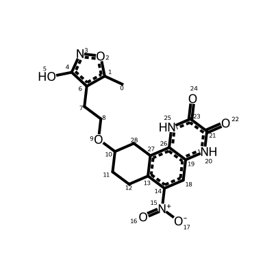 Cc1onc(O)c1CCOC1CCc2c([N+](=O)[O-])cc3[nH]c(=O)c(=O)[nH]c3c2C1